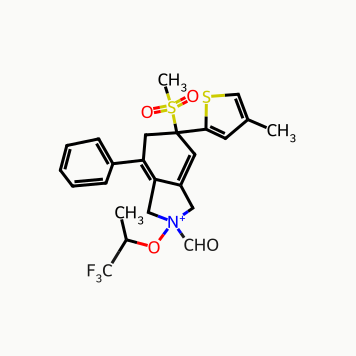 Cc1csc(C2(S(C)(=O)=O)C=C3C[N+](C=O)(OC(C)C(F)(F)F)CC3=C(c3ccccc3)C2)c1